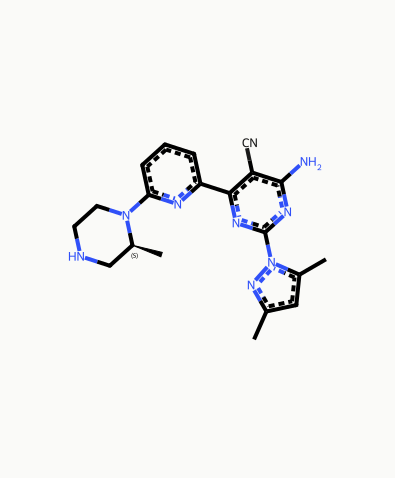 Cc1cc(C)n(-c2nc(N)c(C#N)c(-c3cccc(N4CCNC[C@@H]4C)n3)n2)n1